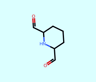 O=CC1CCCC(C=O)N1